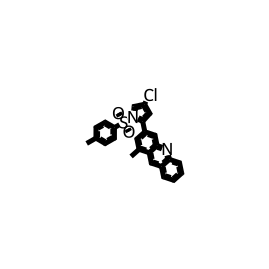 Cc1ccc(S(=O)(=O)n2cc(Cl)cc2-c2cc(C)c3cc4ccccc4nc3c2)cc1